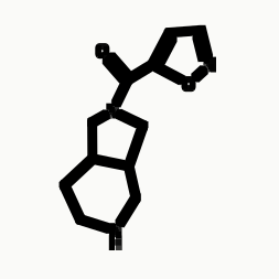 O=C(c1ccno1)N1CC2CCNCC2C1